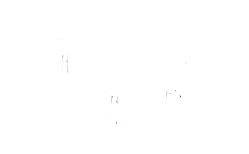 CC(=O)n1c2ccc(-c3cccc4c3[nH]c3ccccc34)cc2c2cc(-c3cccc4c3[nH]c3ccccc34)ccc21